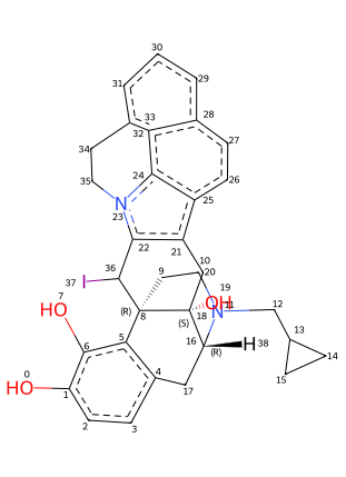 Oc1ccc2c(c1O)[C@]13CCN(CC4CC4)[C@H](C2)[C@]1(O)Cc1c(n2c4c1ccc1cccc(c14)CC2)C3I